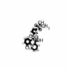 CN(C)S(=O)(=O)c1ccc(S(=O)(=O)Nc2cccc(Cl)c2N2CCCCC2CO)s1